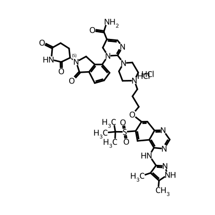 Cc1[nH]nc(Nc2ncnc3cc(OCCCN4CCN(C5=NC=C(C(N)=O)CN5c5cccc6c5CN([C@H]5CCC(=O)NC5=O)C6=O)CC4)c(S(=O)(=O)C(C)(C)C)cc23)c1C.Cl.Cl